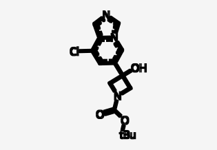 CC(C)(C)OC(=O)N1CC(O)(c2cc(Cl)c3cncn3c2)C1